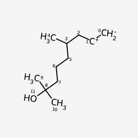 [CH2-][CH+]CC(C)CCCC(C)(C)O